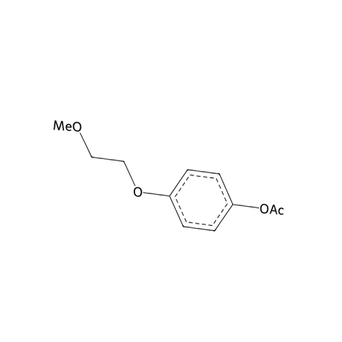 COCCOc1ccc(OC(C)=O)cc1